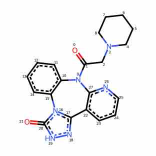 O=C(CN1CCCCC1)N1c2ccccc2-n2c(n[nH]c2=O)-c2cccnc21